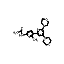 CC(=O)Nc1ccc(-c2cc(N3CCOCC3)cc(N3CCOCC3)n2)c(C)n1